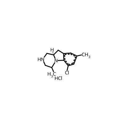 Cc1cc(Cl)c2c(c1)C[C@@H]1CNCC(C)N21.Cl